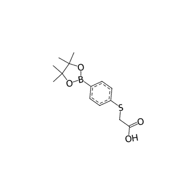 CC1(C)OB(c2ccc(SCC(=O)O)cc2)OC1(C)C